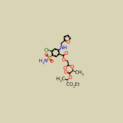 CCOC(=O)[C@H](C)OC(=O)[C@H](C)OC(=O)COC(=O)c1cc(S(N)(=O)=O)c(Cl)cc1NCc1ccco1